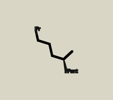 CCCCC[C@@H](C)CCCC(C)C